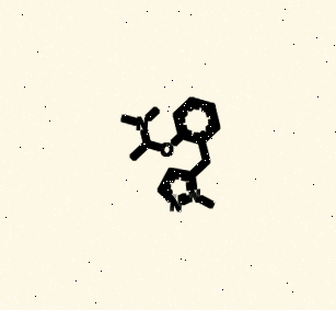 CC(Oc1ccccc1Cc1ccnn1C)N(C)C